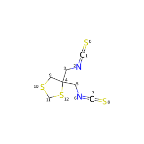 S=C=NCC1(CN=C=S)CSCS1